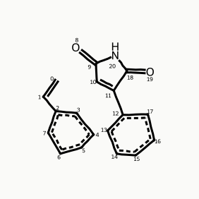 C=Cc1ccccc1.O=C1C=C(c2ccccc2)C(=O)N1